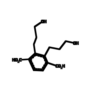 O=C(O)c1ccc(C(=O)O)c(CCCO)c1CCCO